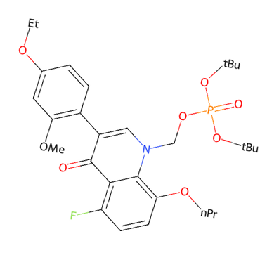 CCCOc1ccc(F)c2c(=O)c(-c3ccc(OCC)cc3OC)cn(COP(=O)(OC(C)(C)C)OC(C)(C)C)c12